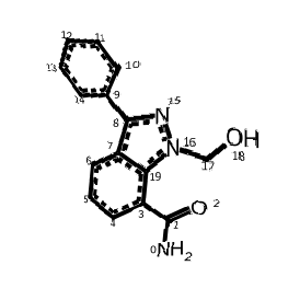 NC(=O)c1cccc2c(-c3ccccc3)nn(CO)c12